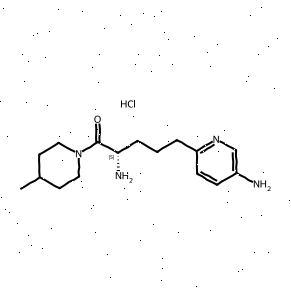 CC1CCN(C(=O)[C@@H](N)CCCc2ccc(N)cn2)CC1.Cl